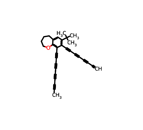 C#CC#CC#CC#Cc1c(C(C)(C)C)cc2c(c1C#CC#CC#CC#CC)OCCCC2